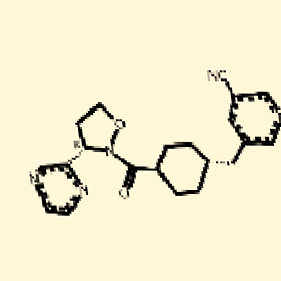 N#Cc1cncc(C[C@H]2CC[C@H](C(=O)N3OCC[C@H]3c3cnccn3)CC2)c1